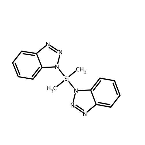 C[Si](C)(n1nnc2ccccc21)n1nnc2ccccc21